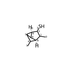 CC1C(S)[C@@H]2C3C(C)[C@H]1C32